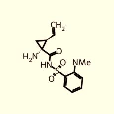 C=C[C@@H]1C[C@]1(N)C(=O)NS(=O)(=O)c1ccccc1NC